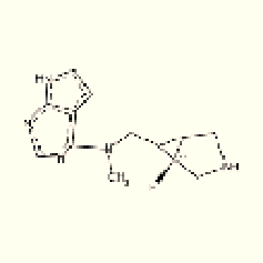 CN(CC1C2CNC[C@@H]21)c1ncnc2[nH]ccc12